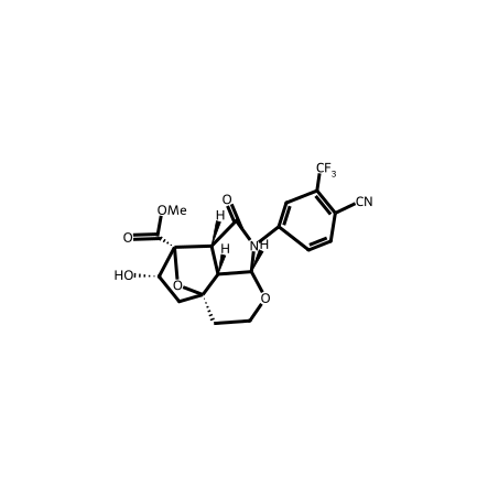 COC(=O)[C@@]12O[C@]3(CCO[C@@H]4[C@H]3[C@H]1C(=O)N4c1ccc(C#N)c(C(F)(F)F)c1)C[C@@H]2O